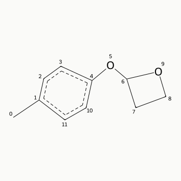 Cc1ccc(OC2CCO2)cc1